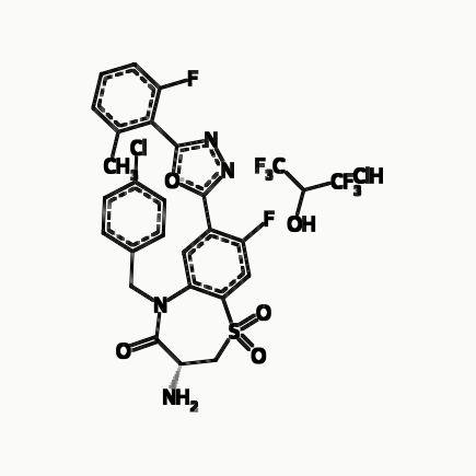 Cc1cccc(F)c1-c1nnc(-c2cc3c(cc2F)S(=O)(=O)C[C@H](N)C(=O)N3Cc2ccc(Cl)cc2)o1.Cl.OC(C(F)(F)F)C(F)(F)F